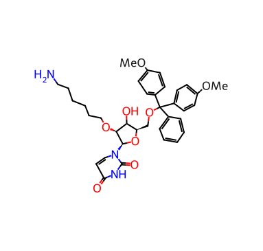 COc1ccc(C(OC[C@H]2O[C@@H](n3ccc(=O)[nH]c3=O)[C@@H](OCCCCCCN)C2O)(c2ccccc2)c2ccc(OC)cc2)cc1